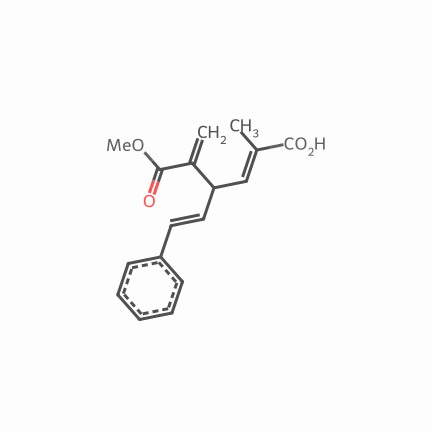 C=C(C(=O)OC)C(C=Cc1ccccc1)C=C(C)C(=O)O